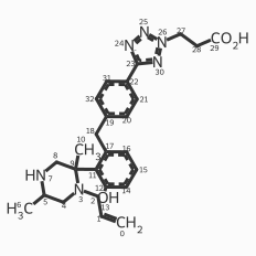 C=CCN1CC(C)NCC1(C)c1c(O)cccc1Cc1ccc(-c2nnn(CCC(=O)O)n2)cc1